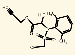 C#CCOC(=O)C(C)N(c1c(C)cccc1C)S(=O)(=O)CCl